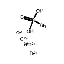 O=P(O)(O)O.[Fe+2].[Mn+2].[O-2].[O-2]